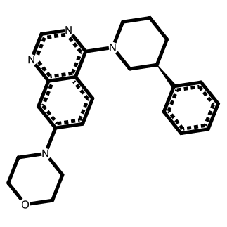 c1ccc([C@@H]2CCCN(c3ncnc4cc(N5CCOCC5)ccc34)C2)cc1